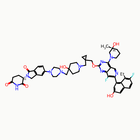 CCc1c(F)ccc2cc(O)cc(-c3ncc4c(N5CCC[C@@](C)(O)C5)nc(OCC5(CN6CCC(O)(CN7CCN(c8ccc9c(c8)CN([C@H]8CCC(=O)NC8=O)C9=O)CC7)CC6)CC5)nc4c3F)c12